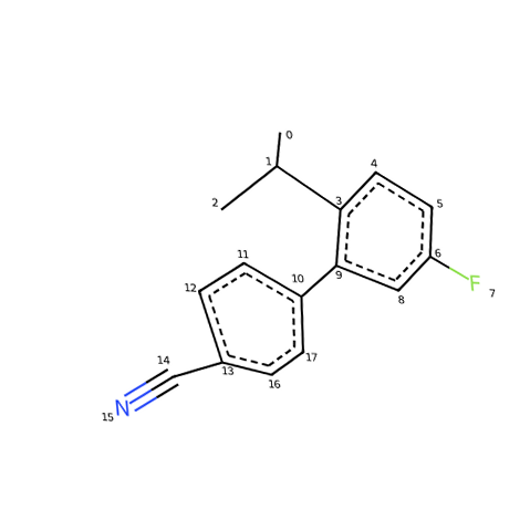 CC(C)c1ccc(F)cc1-c1ccc(C#N)cc1